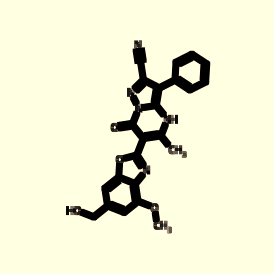 COc1cc(CO)cc2oc(-c3c(C)[nH]c4c(-c5ccccc5)c(C#N)nn4c3=O)nc12